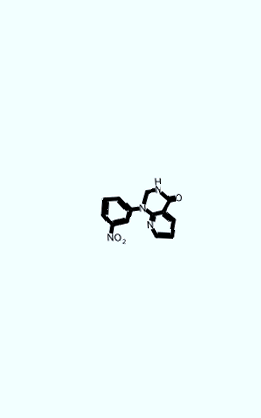 O=C1NCN(c2cccc([N+](=O)[O-])c2)c2ncccc21